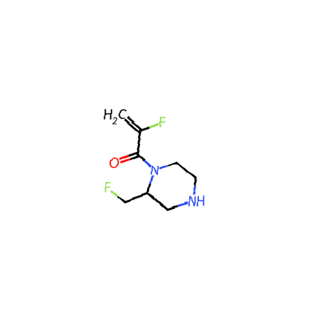 C=C(F)C(=O)N1CCNCC1CF